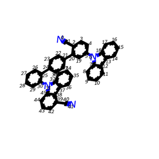 N#Cc1ccc(-n2c3ccccc3c3ccccc32)cc1-c1ccc(-c2ccccc2-n2c3ccccc3c3c(C#N)cccc32)cc1